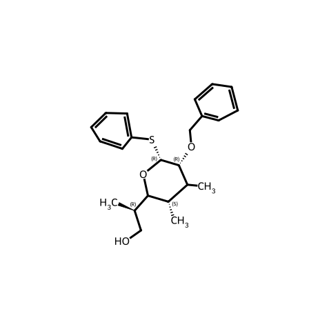 CC1[C@H](C)C([C@H](C)CO)O[C@H](Sc2ccccc2)[C@@H]1OCc1ccccc1